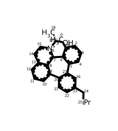 Cc1cccc2c1-c1c3c(cccc3cc[n+]1[C@H](C)O)-c1ccc(CC(C)C)cc1-2